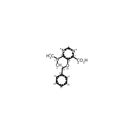 CN(C)c1ncnc(C(=O)O)c1OCc1ccccc1